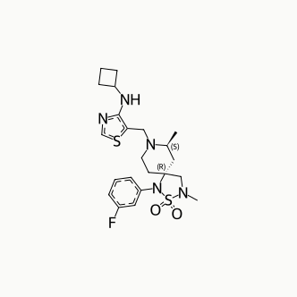 C[C@H]1C[C@]2(CCN1Cc1scnc1NC1CCC1)CN(C)S(=O)(=O)N2c1cccc(F)c1